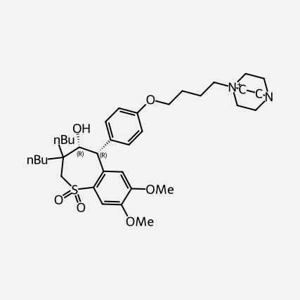 CCCCC1(CCCC)CS(=O)(=O)c2cc(OC)c(OC)cc2[C@@H](c2ccc(OCCCC[N+]34CCN(CC3)CC4)cc2)[C@H]1O